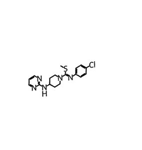 CSC(=Nc1ccc(Cl)cc1)N1CCC(Nc2ncccn2)CC1